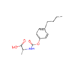 CCCCc1ccc(OC(=O)NC(C)C(=O)O)cc1